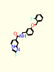 O=C(NCc1cccc(OCc2ccccc2F)c1)c1ccn2cc(F)nc2c1